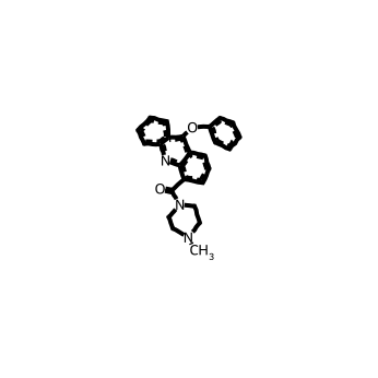 CN1CCN(C(=O)c2cccc3c(Oc4ccccc4)c4ccccc4nc23)CC1